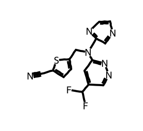 N#Cc1ccc(CN(c2cnccn2)c2cc(C(F)F)cnn2)s1